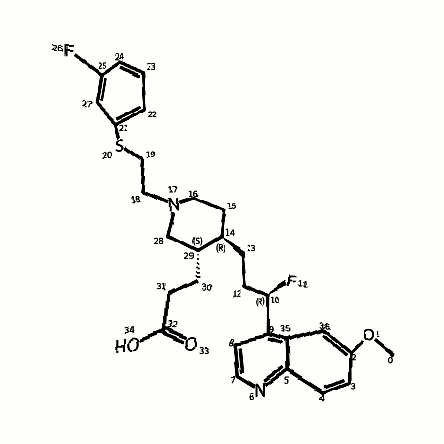 COc1ccc2nccc([C@H](F)CC[C@@H]3CCN(CCSc4cccc(F)c4)C[C@H]3CCC(=O)O)c2c1